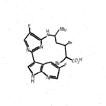 CC(C)(C)C(CC(Br)C(Br)C(=O)O)Nc1nc(-c2c[nH]c3ncc(F)cc23)ncc1F